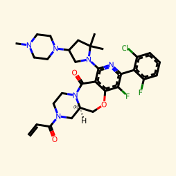 C=CC(=O)N1CCN2C(=O)c3c(N4CC(N5CCN(C)CC5)CC4(C)C)nc(-c4c(F)cccc4Cl)c(F)c3OC[C@H]2C1